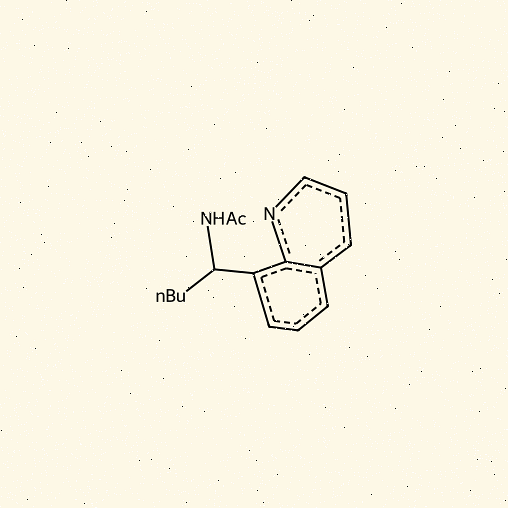 CCCCC(NC(C)=O)c1cccc2cccnc12